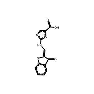 O=C(O)c1cnc(N/C=C2\Sc3ccccc3C2=O)s1